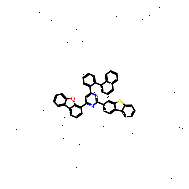 c1ccc(-c2cccc3ccccc23)c(-c2cc(-c3cccc4c3oc3ccccc34)nc(-c3ccc4c(c3)sc3ccccc34)n2)c1